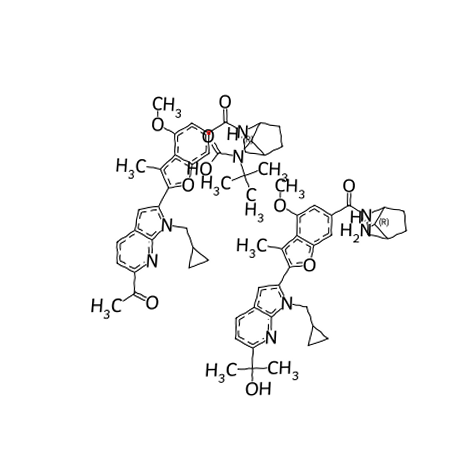 COc1cc(C(=O)N2CC3CCC2[C@@H]3N(C(=O)O)C(C)(C)C)cc2oc(-c3cc4ccc(C(C)=O)nc4n3CC3CC3)c(C)c12.COc1cc(C(=O)N2CC3CCC2[C@@H]3N)cc2oc(-c3cc4ccc(C(C)(C)O)nc4n3CC3CC3)c(C)c12